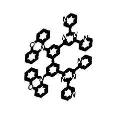 c1ccc(-c2cc(-c3cc(-c4cc(-c5cc(-c6ccccn6)nc(-c6cccnc6)n5)cc(N5c6ccccc6Oc6ccccc65)c4)cc(N4c5ccccc5Oc5ccccc54)c3)nc(-c3cccnc3)n2)nc1